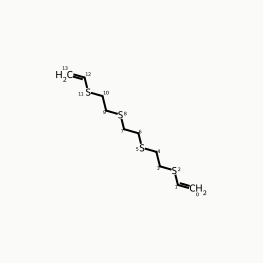 C=CSCCSCCSCCSC=C